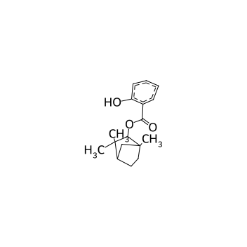 CC12CCC(C1)C(C)(C)C2OC(=O)c1ccccc1O